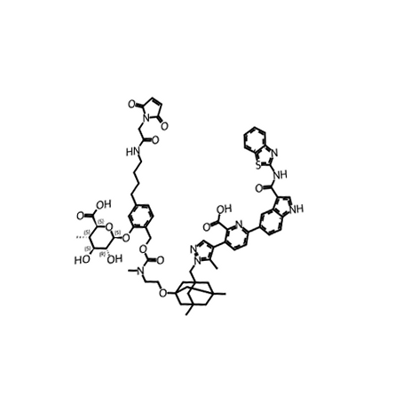 Cc1c(-c2ccc(-c3ccc4[nH]cc(C(=O)Nc5nc6ccccc6s5)c4c3)nc2C(=O)O)cnn1CC12CC3(C)CC(C)(C1)CC(OCCN(C)C(=O)OCc1ccc(CCCCNC(=O)CN4C(=O)C=CC4=O)cc1O[C@@H]1O[C@H](C(=O)O)[C@@H](C)[C@H](O)[C@H]1O)(C3)C2